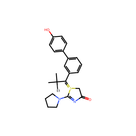 CCC(C)(C)C(c1cccc(-c2ccc(O)cc2)c1)=S1CC(=O)N=C1N1CCCC1